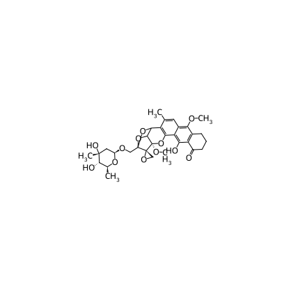 COc1c2c(c(O)c3c4c(c(C)cc13)C1OC3(CO[C@@H]5C[C@@](C)(O)[C@@H](O)[C@H](C)O5)OC1[C@@](OC)(O4)[C@@]31CO1)C(=O)CCC2